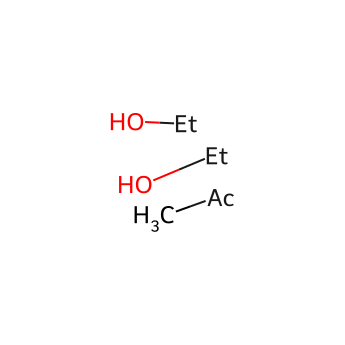 CC(C)=O.CCO.CCO